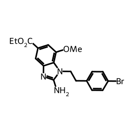 CCOC(=O)c1cc(OC)c2c(c1)nc(N)n2CCc1ccc(Br)cc1